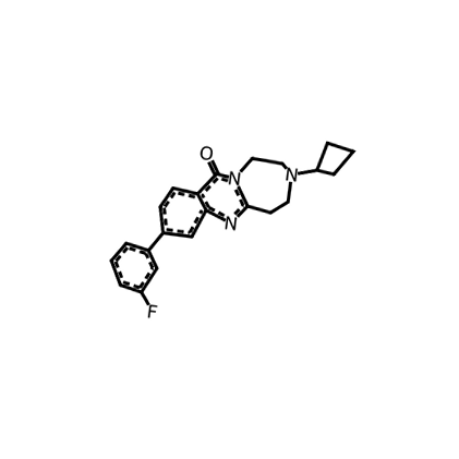 O=c1c2ccc(-c3cccc(F)c3)cc2nc2n1CCN(C1CCC1)CC2